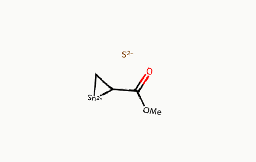 COC(=O)[CH]1[CH2][Sn+2]1.[S-2]